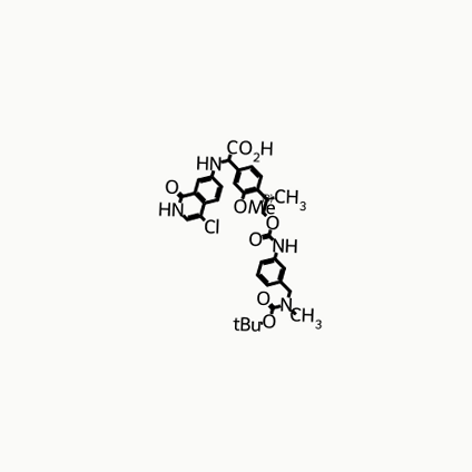 COc1cc(C(Nc2ccc3c(Cl)c[nH]c(=O)c3c2)C(=O)O)ccc1[C@@H](C)COC(=O)Nc1cccc(CN(C)C(=O)OC(C)(C)C)c1